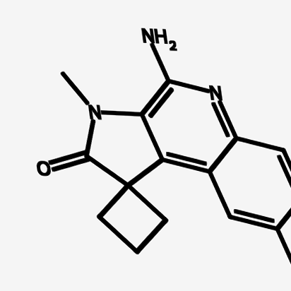 CN1C(=O)C2(CCC2)c2c1c(N)nc1ccc(Br)cc21